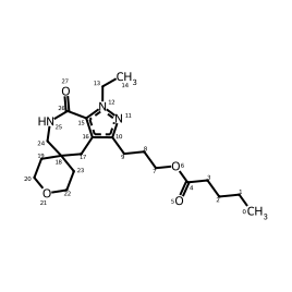 CCCCC(=O)OCCCc1nn(CC)c2c1CC1(CCOCC1)CNC2=O